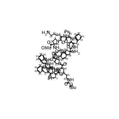 COC(=O)C1(N)CCN(C(=O)[C@@H](CCCCN)NC(=O)[C@H](CC(C)C)NC(=O)[C@@H](Cc2ccccc2)NC(=O)C2(N)Cc3ccc(N(C(=O)OC(C)(C)C)C4(C(=O)OC)CCN(C(=O)[C@@H](CCCCNC(=O)OC(C)(C)C)NC(=O)[C@@H](CC(C)C)NC(=O)[C@@H](Cc5ccccc5)NC(=O)C5(NC(=O)OC(C)(C)C)Cc6ccccc6C5)C4)cc3C2)C1